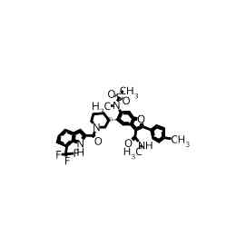 CNC(=O)c1c(-c2ccc(C)cc2)oc2cc(N(C)S(C)(=O)=O)c([C@H]3CCCN(C(=O)c4cc5cccc(C(F)(F)F)c5[nH]4)C3)cc12